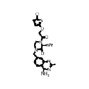 CCCC1C(=O)N(Cc2ccc3c(N)nc(C)nc3c2)CCN1C(=O)COc1ccc(Cl)s1